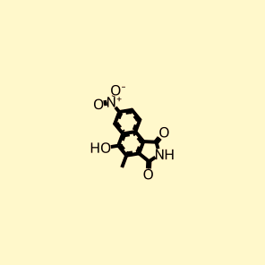 Cc1c2c(c3ccc([N+](=O)[O-])cc3c1O)C(=O)NC2=O